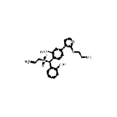 C=CCS(=O)(=O)C(c1ccccc1OC)c1ccc(-c2ccoc2OCCN)cc1C(=O)O